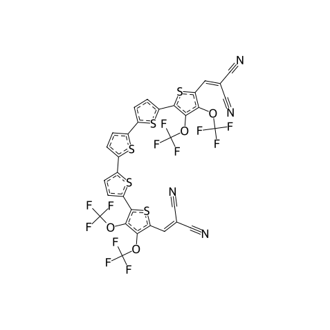 N#CC(C#N)=Cc1sc(-c2ccc(-c3ccc(-c4ccc(-c5sc(C=C(C#N)C#N)c(OC(F)(F)F)c5OC(F)(F)F)s4)s3)s2)c(OC(F)(F)F)c1OC(F)(F)F